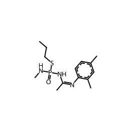 CCCSP(=O)(NC)NC(C)=Nc1ccc(C)cc1C